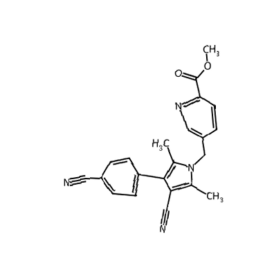 COC(=O)c1ccc(Cn2c(C)c(C#N)c(-c3ccc(C#N)cc3)c2C)cn1